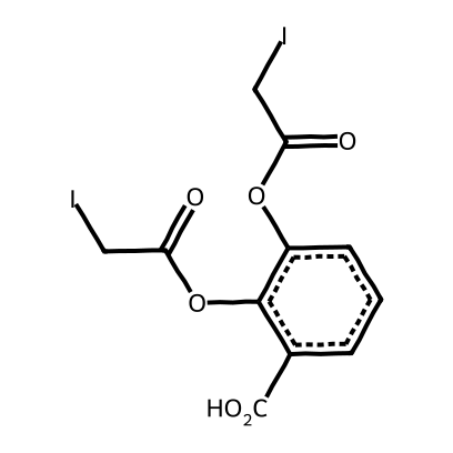 O=C(CI)Oc1cccc(C(=O)O)c1OC(=O)CI